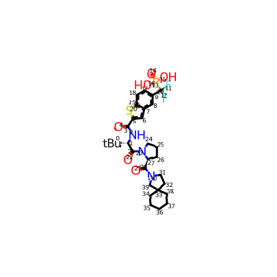 CC(C)(C)[C@H](NC(=O)c1cc2cc(C(F)(F)P(=O)(O)O)ccc2s1)C(=O)N1CCC[C@H]1C(=O)N1CCC2(CCCCC2)C1